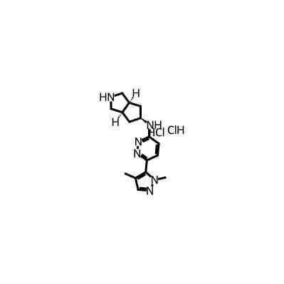 Cc1cnn(C)c1-c1ccc(N[C@H]2C[C@H]3CNC[C@H]3C2)nn1.Cl.Cl